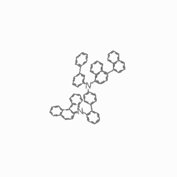 c1ccc(-c2cccc(N(c3ccc(-c4ccccc4-n4c5ccccc5c5c6ccccc6ccc54)cc3)c3ccc(-c4cccc5ccccc45)c4ccccc34)c2)cc1